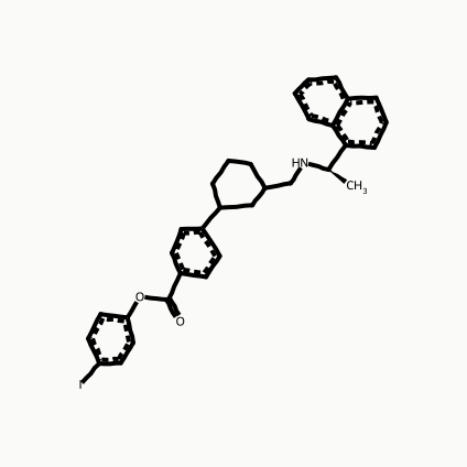 C[C@@H](NCC1CCCC(c2ccc(C(=O)Oc3ccc(I)cc3)cc2)C1)c1cccc2ccccc12